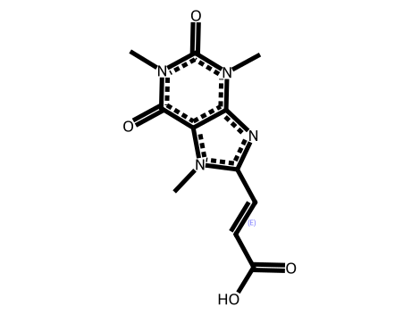 Cn1c(=O)c2c(nc(/C=C/C(=O)O)n2C)n(C)c1=O